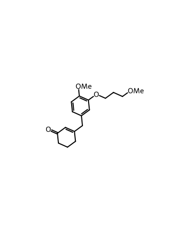 COCCCOc1cc(CC2=CC(=O)CCC2)ccc1OC